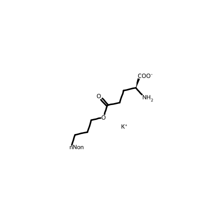 CCCCCCCCCCCCOC(=O)CC[C@H](N)C(=O)[O-].[K+]